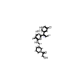 CCC[C@@H]1NC=C(Cl)C=C1/C(=C\I)c1ncc(F)c(NC[C@H]2CCCN(C(=O)CO)C2)n1